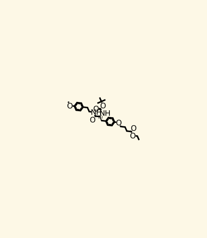 CCOC(=O)CCCOc1ccc(C[C@H](NC(=O)OC(C)(C)C)C(=O)NCCc2ccc(OC)cc2)cc1